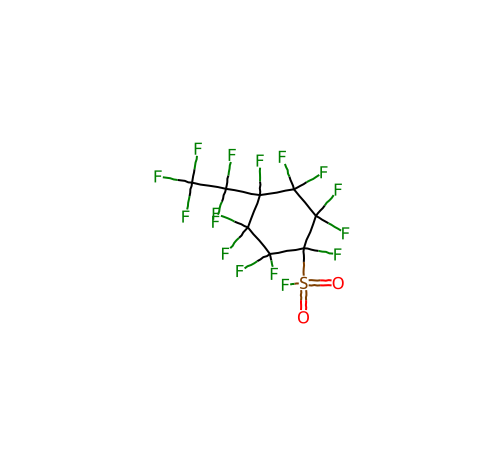 O=S(=O)(F)C1(F)C(F)(F)C(F)(F)C(F)(C(F)(F)C(F)(F)F)C(F)(F)C1(F)F